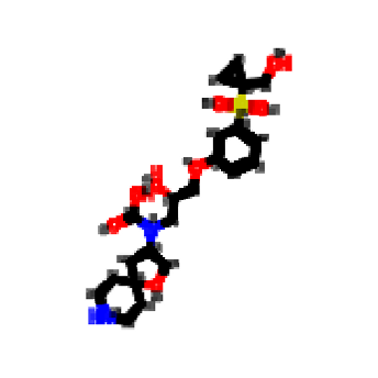 O=C(O)N(C[C@H](O)COc1cccc(S(=O)(=O)C2(CO)CC2)c1)[C@H]1COC2(CCNCC2)C1